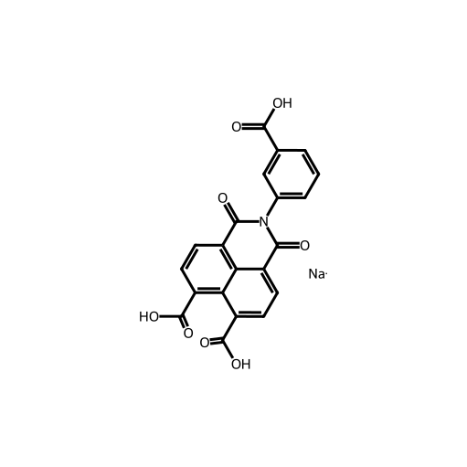 O=C(O)c1cccc(N2C(=O)c3ccc(C(=O)O)c4c(C(=O)O)ccc(c34)C2=O)c1.[Na]